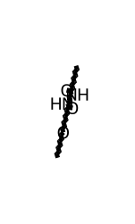 CCCCCCCCOCCCCCCCC(=O)NCCNC(=O)CCCCCCCC